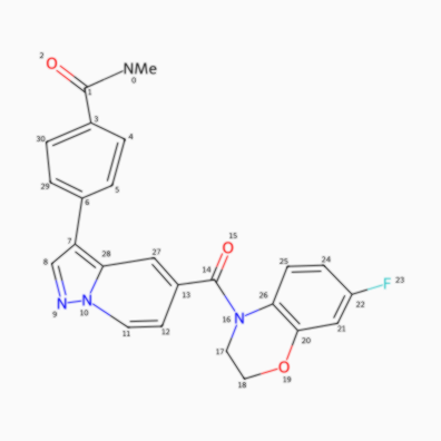 CNC(=O)c1ccc(-c2cnn3ccc(C(=O)N4CCOc5cc(F)ccc54)cc23)cc1